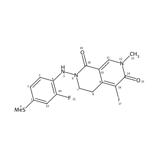 CSc1ccc(NN2CCc3c(cn(C)c(=O)c3I)C2=O)c(F)c1